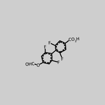 O=COc1cc(F)c(-c2c(F)cc(C(=O)O)cc2F)c(F)c1